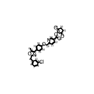 Cc1oc(Cc2cccc(Cl)c2)nc1-c1ccc(OCc2ccc(C(=O)ON3C(=O)CCC3=O)cn2)cc1